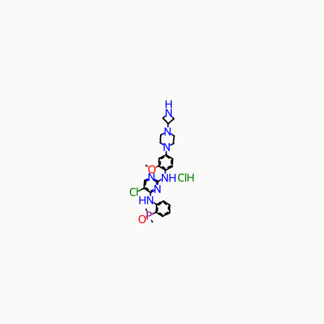 COc1cc(N2CCN(C3CNC3)CC2)ccc1Nc1ncc(Cl)c(Nc2ccccc2P(C)(C)=O)n1.Cl